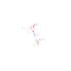 COc1ccc(CCCNCCC2(O)CCc3c(OC)ccc(OC)c3C2)cc1OC